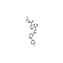 Cc1ccc(-c2cc(NC[C@@H](C)c3cccc4c(C(=O)NCC(F)F)ccnc34)ncn2)cn1